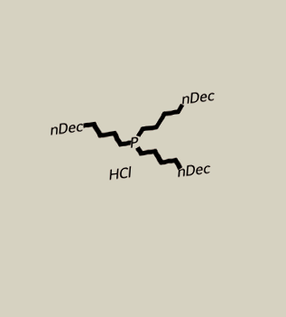 CCCCCCCCCCCCCCP(CCCCCCCCCCCCCC)CCCCCCCCCCCCCC.Cl